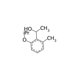 Cc1cccc(OC(C)C)c1C(C)O